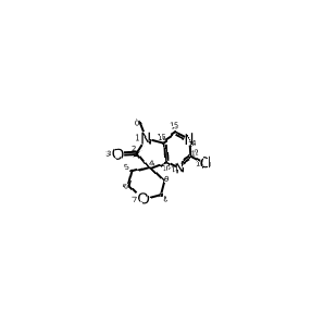 CN1C(=O)C2(CCOCC2)c2nc(Cl)ncc21